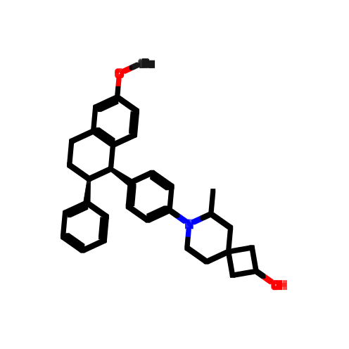 CC1CC2(CCN1c1ccc([C@@H]3c4ccc(OC(C)(C)C)cc4CC[C@@H]3c3ccccc3)cc1)CC(O)C2